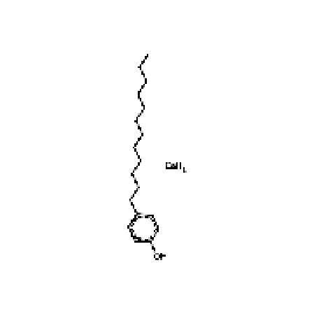 CCCCCCCCCCCCc1ccc(O)cc1.[CaH2]